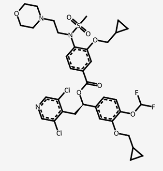 CS(=O)(=O)N(CCN1CCOCC1)c1ccc(C(=O)O[C@H](Cc2c(Cl)cncc2Cl)c2ccc(OC(F)F)c(OCC3CC3)c2)cc1OCC1CC1